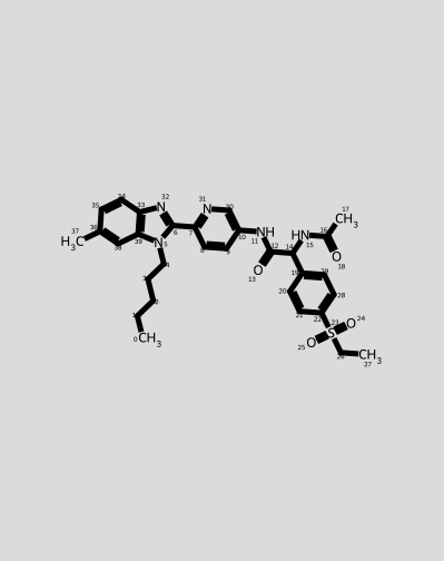 CCCCCn1c(-c2ccc(NC(=O)C(NC(C)=O)c3ccc(S(=O)(=O)CC)cc3)cn2)nc2ccc(C)cc21